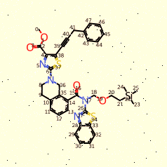 COC(=O)c1nc(N2CCc3cccc(C(=O)N(COCC[Si](C)(C)C)c4nc5ccccc5s4)c3C2)sc1C#CCc1ccccc1